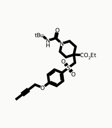 CC#CCOc1ccc(S(=O)(=O)CC2(C(=O)OCC)CCN(C(=O)NC(C)(C)C)CC2)cc1